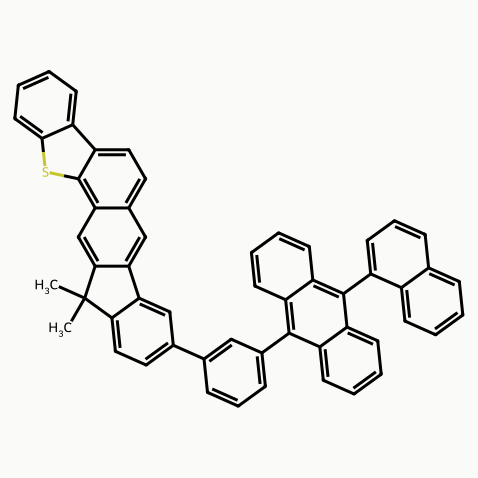 CC1(C)c2ccc(-c3cccc(-c4c5ccccc5c(-c5cccc6ccccc56)c5ccccc45)c3)cc2-c2cc3ccc4c5ccccc5sc4c3cc21